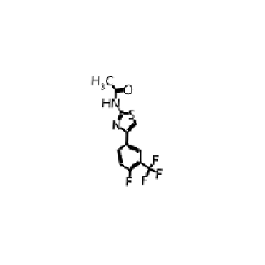 CC(=O)Nc1nc(-c2ccc(F)c(C(F)(F)F)c2)cs1